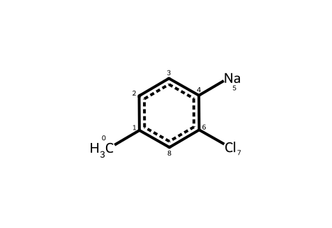 Cc1cc[c]([Na])c(Cl)c1